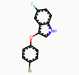 Fc1ccc2[nH]cc(Oc3ccc(Br)cc3)c2c1